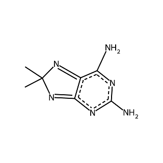 CC1(C)N=c2nc(N)nc(N)c2=N1